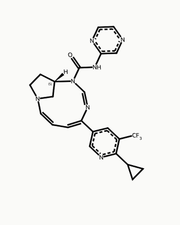 O=C(Nc1cnccn1)N1C=NC(c2cnc(C3CC3)c(C(F)(F)F)c2)=CC=CN2CC[C@H]1C2